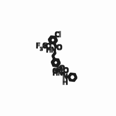 O=C(NC1CCCCC1)NS(=O)(=O)c1ccc(CCNC(=O)c2cc(Cl)ccc2OC(F)(F)F)cc1